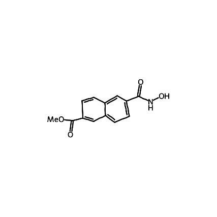 COC(=O)c1ccc2cc(C(=O)NO)ccc2c1